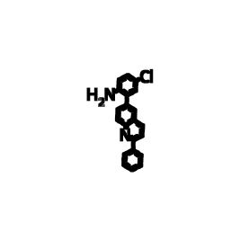 Nc1ccc(Cl)cc1-c1ccc2nc(-c3ccccc3)ccc2c1